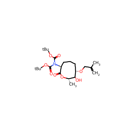 C=C(C)CO[C@H]1CCC[C@H](N(C(=O)OC(C)(C)C)C(=O)OC(C)(C)C)C(=O)O[C@@H](C)[C@@H]1O